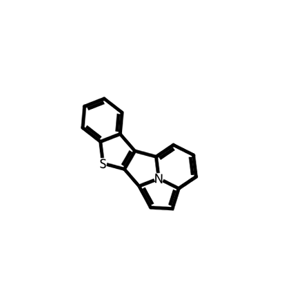 c1ccc2c(c1)sc1c2c2cccc3ccc1n32